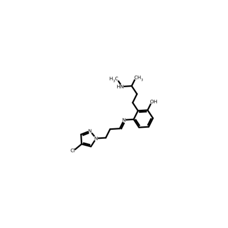 CNC(C)CCc1c(O)cccc1/N=C/CCn1cc(Cl)cn1